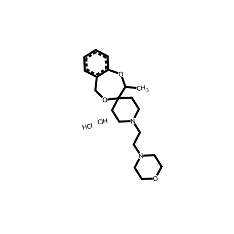 CC1Oc2ccccc2COC12CCN(CCN1CCOCC1)CC2.Cl.Cl